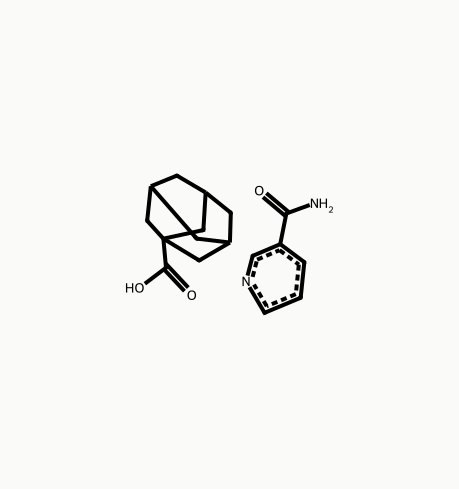 NC(=O)c1cccnc1.O=C(O)C12CC3CC(CC(C3)C1)C2